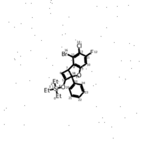 CC[Si](CC)(CC)OC1=CC2c3c(cc(F)c(Cl)c3Br)OC12c1ccccc1